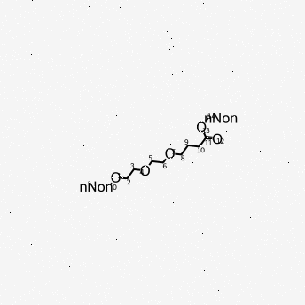 CCCCCCCCCOCCOCCOCCCC(=O)OCCCCCCCCC